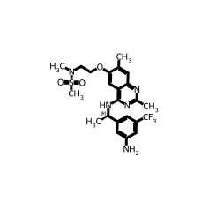 Cc1nc(N[C@H](C)c2cc(N)cc(C(F)(F)F)c2)c2cc(OCCN(C)S(C)(=O)=O)c(C)cc2n1